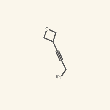 CC(C)CC#CC1COC1